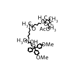 COc1ccc(C(OC[C@@H](O)CN(C)CCCCCCN(C)C(=O)CCCCOC2OC(COC(C)=O)C(C)C(C)C2C)(c2ccccc2)c2ccc(OC)cc2)cc1